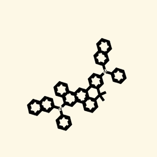 CC1(C)c2cc(N(c3ccccc3)c3ccc4ccccc4c3)ccc2-c2cc3c4ccccc4c(N(c4ccccc4)c4ccc5ccccc5c4)cc3c3cccc1c23